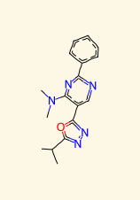 CC(C)c1nnc(-c2cnc(-c3ccccc3)nc2N(C)C)o1